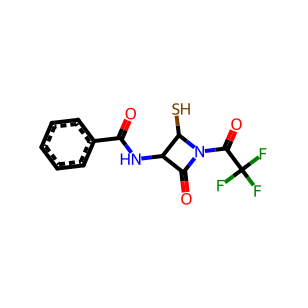 O=C(NC1C(=O)N(C(=O)C(F)(F)F)C1S)c1ccccc1